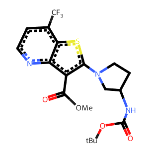 COC(=O)c1c(N2CCC(NC(=O)OC(C)(C)C)C2)sc2c(C(F)(F)F)ccnc12